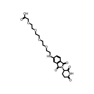 O=C(O)COCCOCCOCCOCCNc1ccc2c(c1)C(=O)N(C1CCC(=O)NC1=O)C2=O